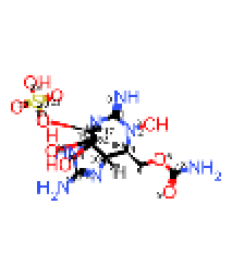 N=C1N(O)[C@@H](COC(N)=O)[C@@H]2N=C(N)N[C@]23N1C[C@H](OS(=O)(=O)O)C3(O)O